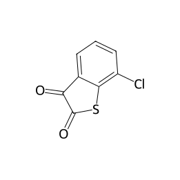 O=C1Sc2c(Cl)cccc2C1=O